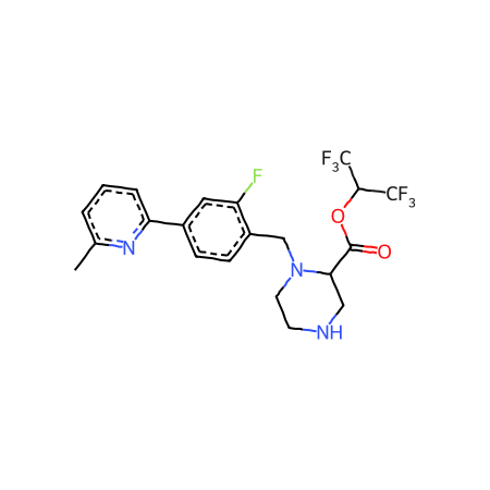 Cc1cccc(-c2ccc(CN3CCNCC3C(=O)OC(C(F)(F)F)C(F)(F)F)c(F)c2)n1